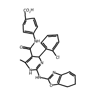 CC1=C(C(=O)Nc2ccc(C(=O)O)cc2)C(c2ccccc2Cl)N=C(Nc2nc3c(o2)CCC=C3)N1